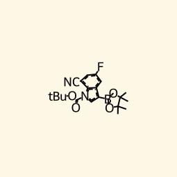 CC(C)(C)OC(=O)n1cc(B2OC(C)(C)C(C)(C)O2)c2cc(F)cc(C#N)c21